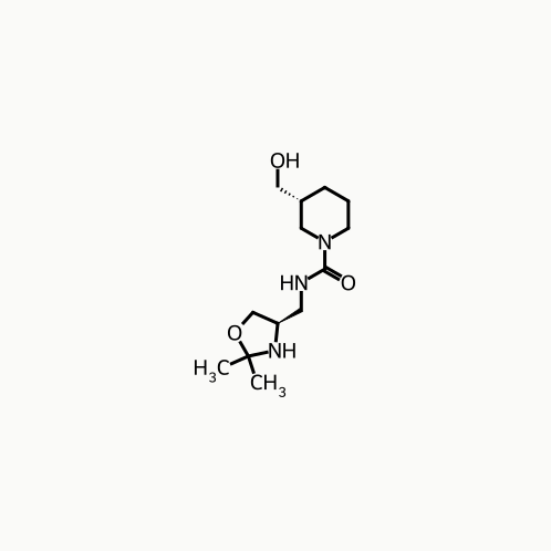 CC1(C)N[C@H](CNC(=O)N2CCC[C@@H](CO)C2)CO1